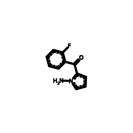 Nn1cccc1C(=O)c1ccccc1F